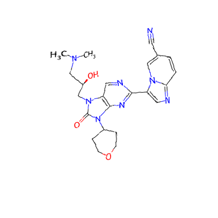 CN(C)C[C@@H](O)Cn1c(=O)n(C2CCOCC2)c2nc(-c3cnc4ccc(C#N)cn34)ncc21